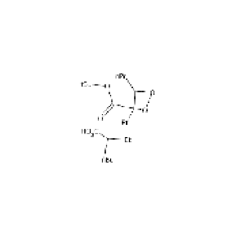 CCCC1OOC1(CC)C(=O)OC(C)(C)C.CCCCC(CC)C(=O)O